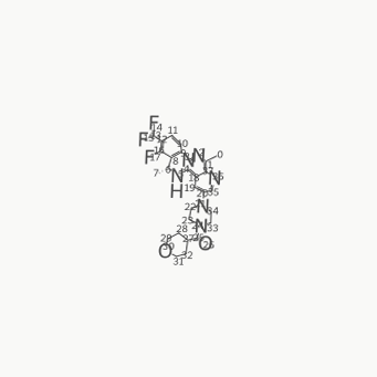 Cc1nnc(N[C@H](C)c2cccc(C(F)F)c2F)c2cc(N3CCN(C(=O)C4CCOCC4)CC3)cnc12